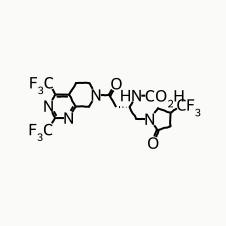 O=C(O)N[C@@H](CC(=O)N1CCc2c(nc(C(F)(F)F)nc2C(F)(F)F)C1)CN1CC(C(F)(F)F)CC1=O